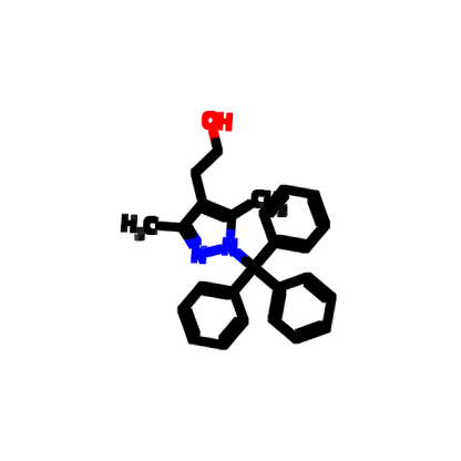 Cc1nn(C(c2ccccc2)(c2ccccc2)c2ccccc2)c(C)c1CCO